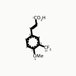 COc1ccc(C=CC(=O)O)cc1C(F)(F)F